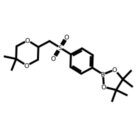 CC1(C)COC(CS(=O)(=O)c2ccc(B3OC(C)(C)C(C)(C)O3)cc2)CO1